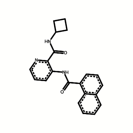 O=C(NC1CCC1)c1ncccc1NC(=O)c1cccc2ccccc12